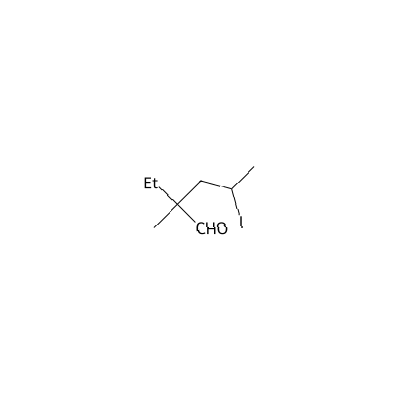 CCC(C)(C=O)CC(C)I